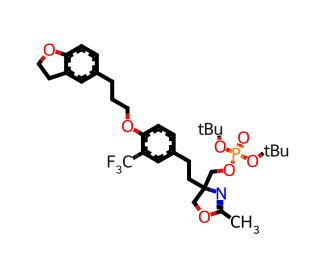 CC1=NC(CCc2ccc(OCCCc3ccc4c(c3)CCO4)c(C(F)(F)F)c2)(COP(=O)(OC(C)(C)C)OC(C)(C)C)CO1